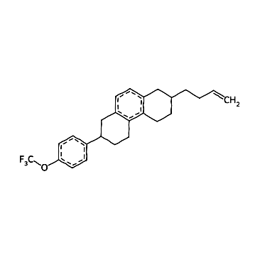 C=CCCC1CCc2c(ccc3c2CCC(c2ccc(OC(F)(F)F)cc2)C3)C1